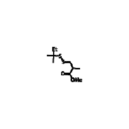 CCC(C)(C)SSCC(C)C(=O)OC